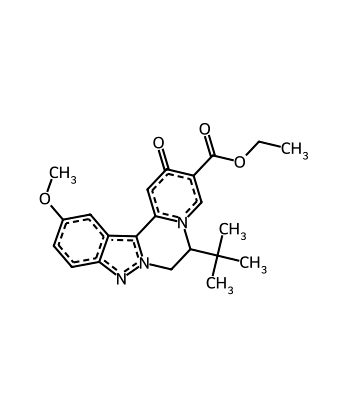 CCOC(=O)c1cn2c(cc1=O)-c1c3cc(OC)ccc3nn1CC2C(C)(C)C